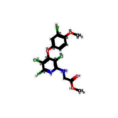 COC(=O)CNc1nc(F)c(Cl)c(Oc2ccc(OC)c(Br)c2)c1Cl